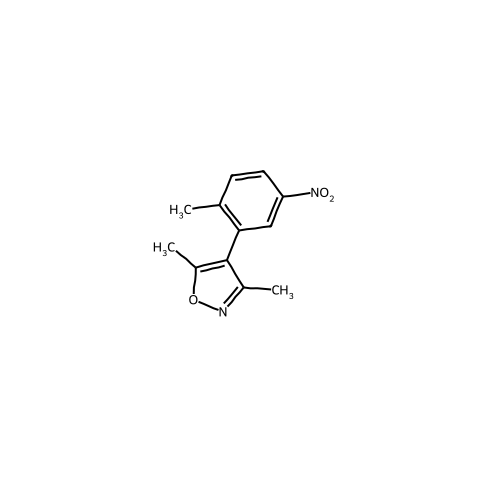 Cc1ccc([N+](=O)[O-])cc1-c1c(C)noc1C